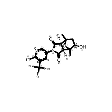 CC12C[C@@H](O)C(C)(O1)[C@H]1C(=O)N(c3cnc(Cl)c(C(F)(F)F)c3)C(=O)[C@H]12